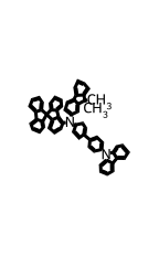 CC1(C)c2ccccc2-c2ccc(N(c3cccc4c3-c3ccccc3C43c4ccccc4-c4ccccc43)C3C=CC(c4ccc(-n5c6ccccc6c6ccccc65)cc4)=CC3)cc21